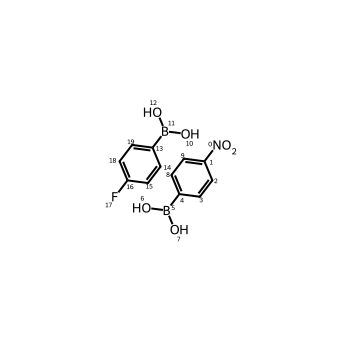 O=[N+]([O-])c1ccc(B(O)O)cc1.OB(O)c1ccc(F)cc1